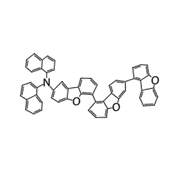 c1ccc2c(N(c3ccc4oc5c(-c6cccc7oc8cc(-c9cccc%10oc%11ccccc%11c9%10)ccc8c67)cccc5c4c3)c3cccc4ccccc34)cccc2c1